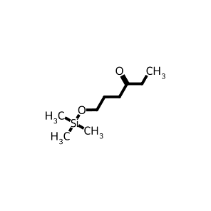 CCC(=O)CCCO[Si](C)(C)C